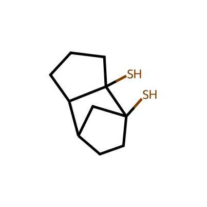 SC12CCC(C1)C1CCCC12S